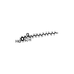 CCCCCCCCCCCCCCCCCCNC(=O)NCc1ccc(O)cc1